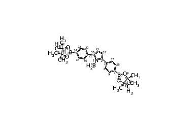 Bn1c(-c2ccc(B3OC(C)(C)C(C)(C)O3)cc2)ccc1-c1ccc(B2OC(C)(C)C(C)(C)O2)cc1